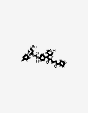 Cc1ccc(-n2nc(C(C)(C)C)cc2NC(=O)Nc2ccc(C(C(=O)CCCC(=O)c3ccccc3)C3CCNCC3)cc2)cc1